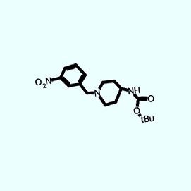 CC(C)(C)OC(=O)NC1CCN(Cc2cccc([N+](=O)[O-])c2)CC1